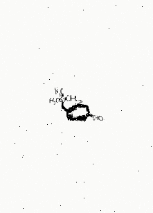 [CH3][Sn]([CH3])([CH3])[CH2]c1ccc([C]=O)cc1